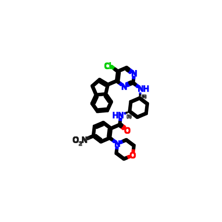 O=C(N[C@H]1CCC[C@@H](Nc2ncc(Cl)c(C3=CCc4ccccc43)n2)C1)c1ccc([N+](=O)[O-])cc1N1CCOCC1